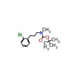 CN(CCCc1ccccc1Br)C(=O)OC(C)(C)C